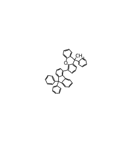 CC1(c2ccccc2)c2ccccc2Oc2c(-c3cccc4c3-c3ccccc3C4(c3ccccc3)c3ccccc3)cccc21